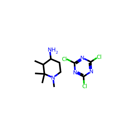 CC1C(N)CCN(C)C1(C)C.Clc1nc(Cl)nc(Cl)n1